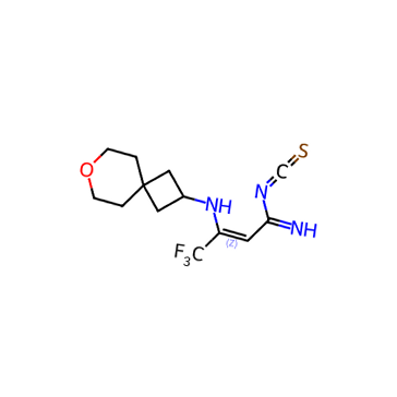 N=C(/C=C(\NC1CC2(CCOCC2)C1)C(F)(F)F)N=C=S